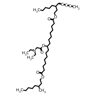 C=C=C=C=CC(CCCCC)CCOC(=O)CCCCCCCC(CCCCCCCC(=O)OCCC(C)CCCCC)OC(=O)CN(CC)CC